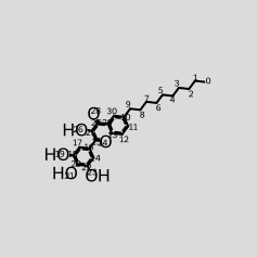 CCCCCCCCCCc1ccc2oc(-c3cc(O)c(O)c(O)c3)c(O)c(=O)c2c1